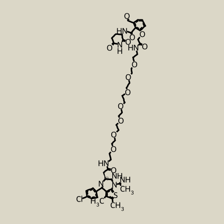 CC(=N)N1C(=N)[C@H](CC(=O)NCCOCCOCCOCCOCCOCCOCCOCCNC(=O)COc2cccc(C=O)c2C(=O)NC2CCC(=O)NC2=O)N=C(c2ccc(Cl)cc2)c2c1sc(C)c2C